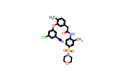 Cc1cc(S(=O)(=O)N2CCOCC2)ccc1NC(=O)Cc1ccc(C)c(Oc2cc(Cl)cc(C#N)c2)c1